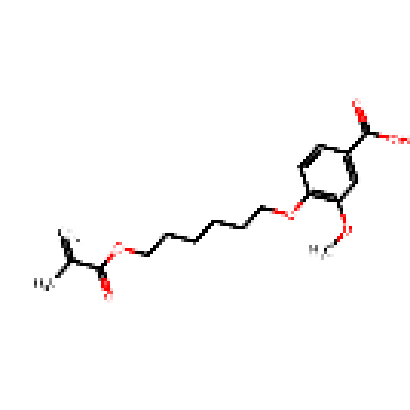 C=C(C)C(=O)OCCCCCCOc1ccc(C(=O)O)cc1OC